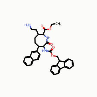 CCOC(=O)C1NC(=O)C(NC(=O)OCC2c3ccccc3-c3ccccc32)C(c2ccc3ccccc3c2)CCC1CCN